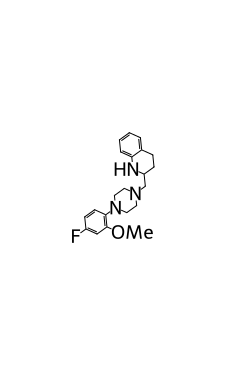 COc1cc(F)ccc1N1CCN(CC2CCc3ccccc3N2)CC1